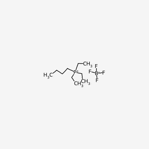 CCCC[P+](CC)(CC)CC.F[B-](F)(F)F